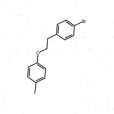 Fc1ccc(OCCc2ccc(Br)cc2)cc1